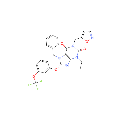 CCn1c(=O)n(Cc2ccno2)c(=O)c2c1nc(Oc1cccc(OC(F)(F)F)c1)n2Cc1ccccc1